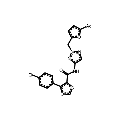 CC(=O)c1ccc(Cn2ncc(NC(=O)c3ncoc3-c3ccc(Cl)cc3)n2)o1